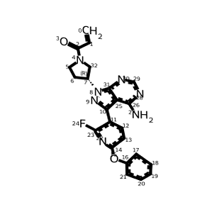 C=CC(=O)N1CC[C@@H](n2nc(-c3ccc(Oc4ccccc4)nc3F)c3c(N)ncnc32)C1